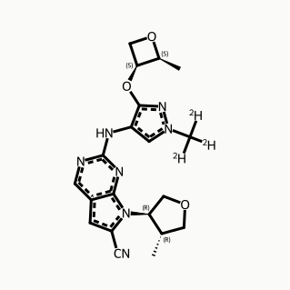 [2H]C([2H])([2H])n1cc(Nc2ncc3cc(C#N)n([C@H]4COC[C@@H]4C)c3n2)c(O[C@H]2CO[C@H]2C)n1